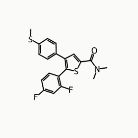 CSc1ccc(-c2cc(C(=O)N(C)C)sc2-c2ccc(F)cc2F)cc1